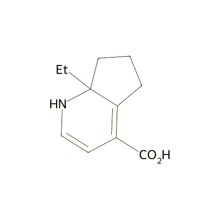 CCC12CCCC1=C(C(=O)O)C=CN2